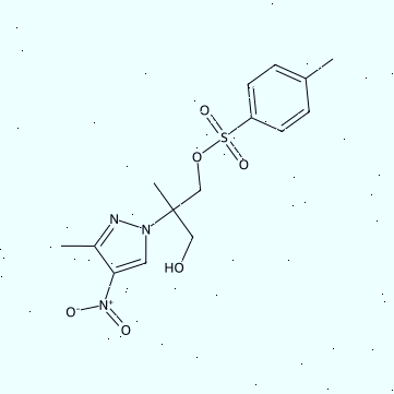 Cc1ccc(S(=O)(=O)OCC(C)(CO)n2cc([N+](=O)[O-])c(C)n2)cc1